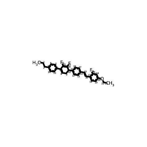 CCCc1ccc(C2=CCC(c3ccc(/C=C/c4ccc(OCC)cc4F)cc3)C(F)=C2F)cc1